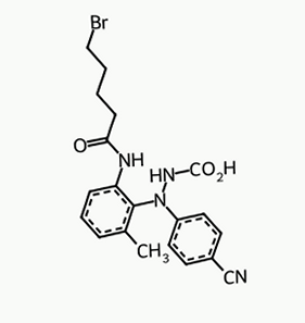 Cc1cccc(NC(=O)CCCCBr)c1N(NC(=O)O)c1ccc(C#N)cc1